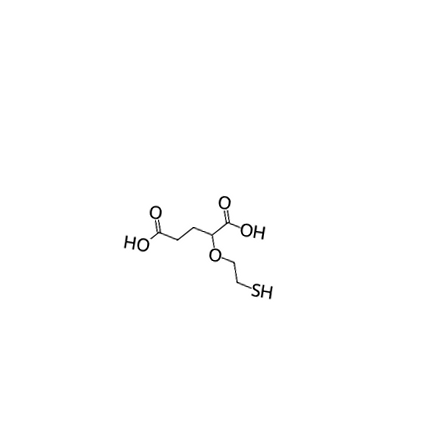 O=C(O)CCC(OCCS)C(=O)O